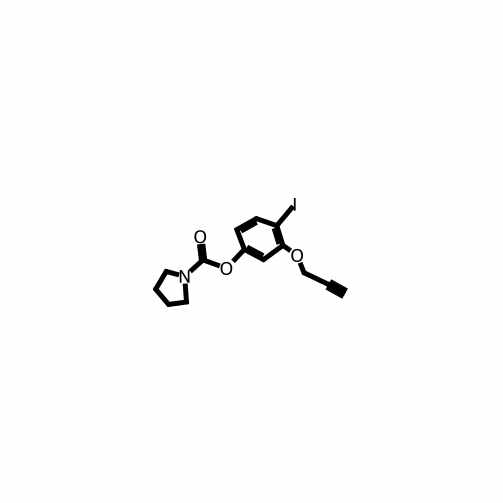 C#CCOc1cc(OC(=O)N2CCCC2)ccc1I